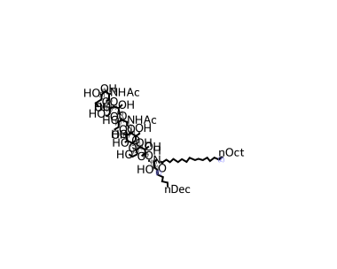 CCCCCCCC/C=C\CCCCCCCCCCCCCC(=O)N[C@@H](CO[C@@H]1OC(CO)[C@@H](O[C@@H]2OC(CO)[C@H](O[C@@H]3OC(CO)[C@H](O)[C@H](O[C@@H]4OC(CO)[C@H](O)[C@H](O[C@@H]5OC(CO)[C@H](O)[C@H](O)C5NC(C)=O)C4O)C3NC(C)=O)[C@H](O)C2O)[C@H](O)C1O)[C@H](O)/C=C/CCCCCCCCCCCCC